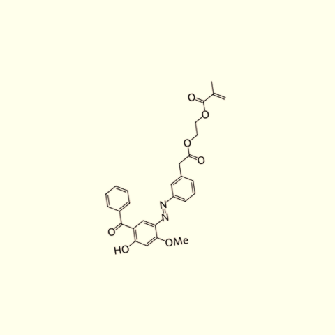 C=C(C)C(=O)OCCOC(=O)Cc1cccc(/N=N/c2cc(C(=O)c3ccccc3)c(O)cc2OC)c1